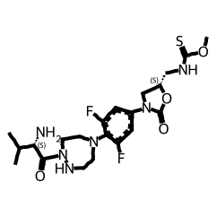 COC(=S)NC[C@H]1CN(c2cc(F)c(N3CCNN(C(=O)[C@@H](N)C(C)C)CC3)c(F)c2)C(=O)O1